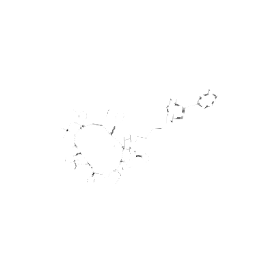 CC[C@H]1OC(=O)[C@@](C)(F)C(=O)[C@H](C)[C@@H](C(C)(C)C)[C@](C)(OC)C[C@@H](C)C(=O)[C@H](C)[C@H]2N(CCCCn3cnc(-c4cccnc4)c3)C(=O)O[C@]12C